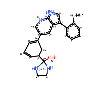 COc1ccccc1-c1c[nH]c2ncc(C3=CC=CC(C4(O)NCCN4)C3)cc12